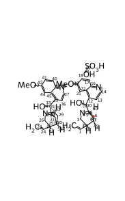 C=C[C@@H]1CN2CC[C@H]1C[C@@H]2[C@@H](O)c1ccnc2ccc(OC)cc12.C=C[C@@H]1CN2CC[C@H]1C[C@@H]2[C@@H](O)c1ccnc2ccc(OC)cc12.O=S(=O)(O)O